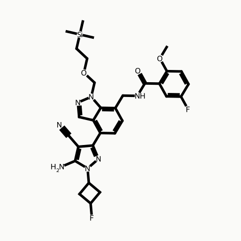 COc1ccc(F)cc1C(=O)NCc1ccc(-c2nn(C3CC(F)C3)c(N)c2C#N)c2cnn(COCC[Si](C)(C)C)c12